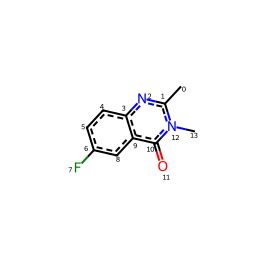 Cc1nc2ccc(F)cc2c(=O)n1C